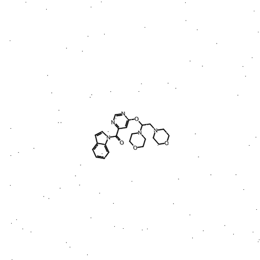 O=C(c1cc(OC(CN2CCOCC2)N2CCOCC2)ncn1)n1ccc2ccccc21